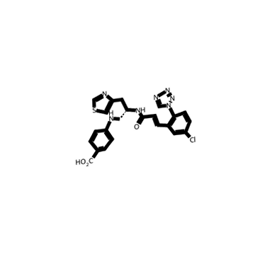 O=C(/C=C/c1cc(Cl)ccc1-n1cnnn1)N[C@H](CNc1ccc(C(=O)O)cc1)Cc1cscn1